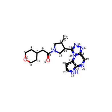 CCC1CN(C(=O)CC2CCOCC2)CC1c1nnc2cnc3[nH]ccc3n12